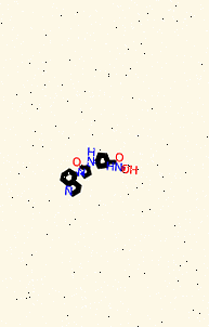 O=C(NO)c1ccc(NC2CCN(c3cccc4ncccc34)C2=O)cc1